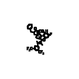 Cc1cc(F)ccc1[C@H]1C[C@@]2(CCN1C(=O)N(C)[C@H](C)c1cc(C(F)(F)F)cc(C(F)(F)F)c1)CC(Cc1ccccc1)C(=O)N2C(=O)O